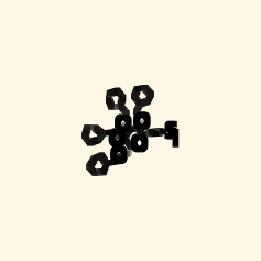 ISC#C[C@H]1O[C@H](COCc2ccccc2)[C@@H](OCc2ccccc2)[C@H](OCc2ccccc2)[C@@H]1OCc1ccccc1